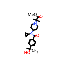 COC(=O)C(C)(C)N1CCC(N(C(=O)c2ccc([C@](C)(O)C(F)(F)F)cc2)C2CC2)CC1